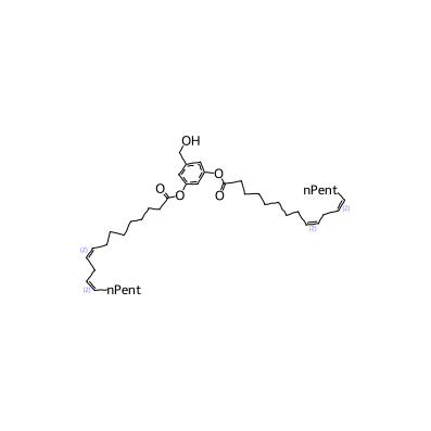 CCCCC/C=C\C/C=C\CCCCCCCC(=O)Oc1cc(CO)cc(OC(=O)CCCCCCC/C=C\C/C=C\CCCCC)c1